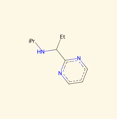 CCC(NC(C)C)c1ncccn1